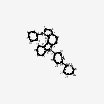 c1ccc(-n2ccc3ccc4c(c5ccccc5n4-c4ccc(-c5ccccn5)nc4)c32)cc1